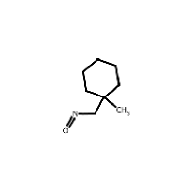 CC1(CN=O)CCCCC1